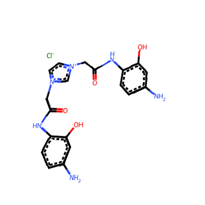 Nc1ccc(NC(=O)Cn2cc[n+](CC(=O)Nc3ccc(N)cc3O)c2)c(O)c1.[Cl-]